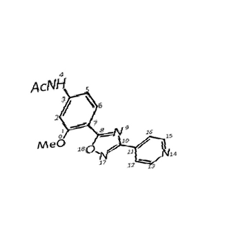 COc1cc(NC(C)=O)ccc1-c1nc(-c2ccncc2)no1